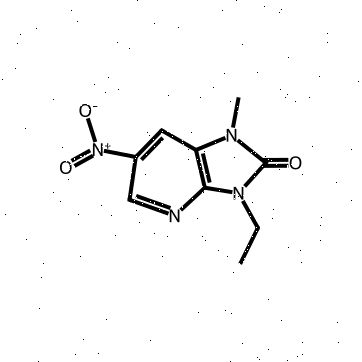 CCn1c(=O)n(C)c2cc([N+](=O)[O-])cnc21